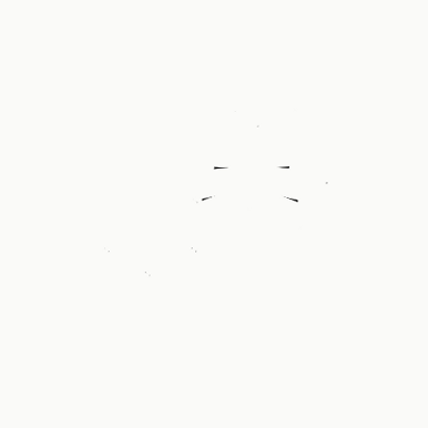 CC1(C)O[C@H]2[C@H](n3ccc4c(N)ncnc43)O[C@H](C(O)c3ccc(Cl)cc3)[C@@]2(C)O1